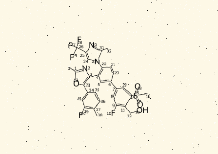 Cc1nc(-c2cc(-c3cc(F)c(CO)c(S(C)(=O)=O)c3)ccc2-n2cc(C(F)(F)F)nc2C)c(-c2ccc(C)c(F)c2)o1